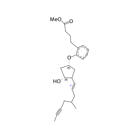 CC#CCC(C)C/C=C/C1C[C@@H](Oc2ccccc2CCCC(=O)OC)C[C@H]1O